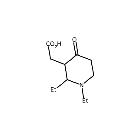 CCC1C(CC(=O)O)C(=O)CCN1CC